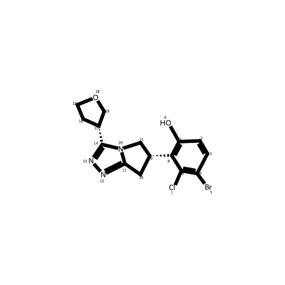 Oc1ccc(Br)c(Cl)c1[C@@H]1Cc2nnc([C@@H]3CCOC3)n2C1